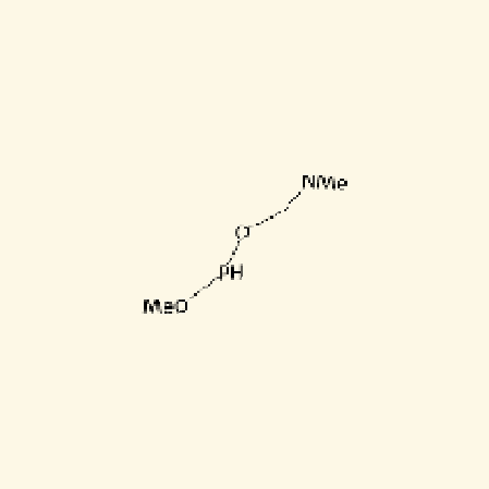 CNCOPOC